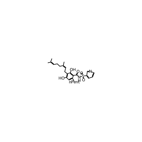 CCCCCc1cc(O)c(CC=C(C)CCC=C(C)C)c(O)c1C(=O)NS(=O)(=O)c1cccnc1